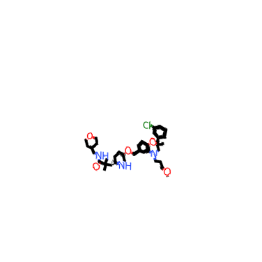 COCCCN1CC(C)(c2cccc(Cl)c2)Oc2ccc(CO[C@@H]3CC[C@@H](CC(C)(C)C(=O)NCC4CCOCC4)NC3)cc21